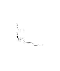 CCCCC/C=C\NCC